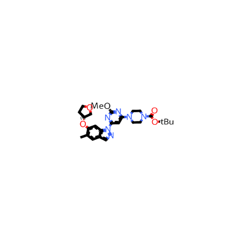 COc1nc(N2CCN(C(=O)OC(C)(C)C)CC2)cc(-n2ncc3cc(C)c(O[C@@H]4CCOC4)cc32)n1